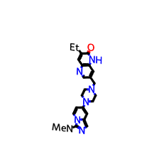 CCc1cc2ncc(CN3CCN(c4ccn5c(NC)ncc5c4)CC3)cc2[nH]c1=O